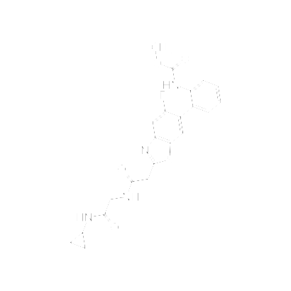 COC(=O)Nc1ccccc1-c1cc2sc(CC(=O)NCC(=O)NC3CC3)nc2cc1F